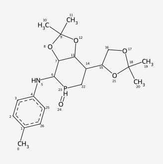 Cc1ccc(NC2C3OC(C)(C)OC3C(C3COC(C)(C)O3)C[PH]2=O)cc1